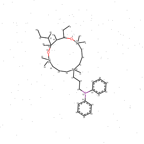 CCC1O[Si](C)(C)CCC[Si](C)(CCCP(c2ccccc2)c2ccccc2)CCC[Si](C)(C)OC(C)(C(C)CC)C1C